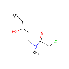 CCC(O)CCN(C)C(=O)CCl